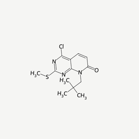 CSc1nc(Cl)c2ccc(=O)n(CC(C)(C)C)c2n1